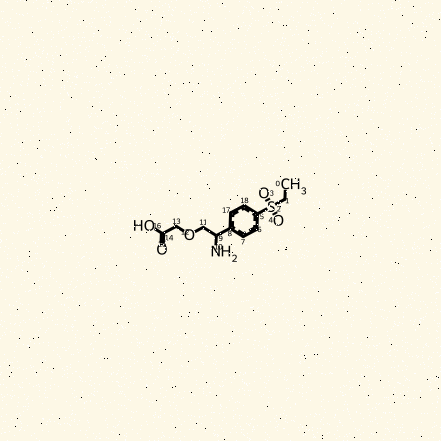 CCS(=O)(=O)c1ccc(C(N)COCC(=O)O)cc1